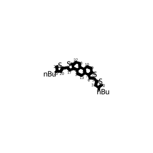 CCCCc1csc(-c2cc3c(ccc4c3ccc3c5cc(-c6cc(CCCC)cs6)sc5ccc34)s2)c1